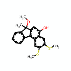 COC1(C)c2ccccc2-c2c1cc(O)c1cc(SC)c(SC)cc21